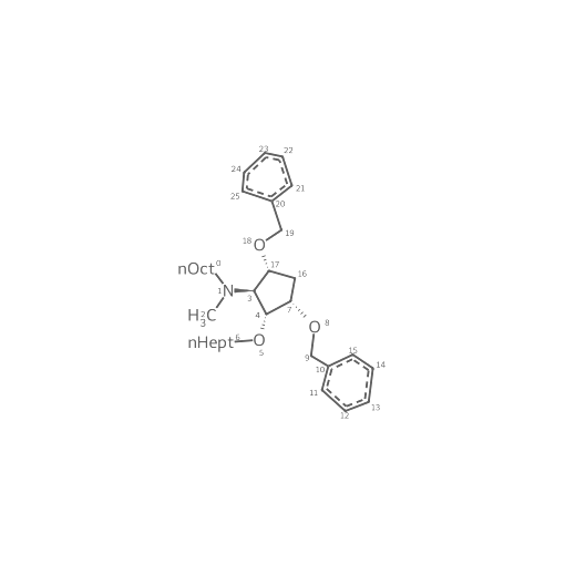 CCCCCCCCN(C)[C@@H]1[C@@H](OCCCCCCC)[C@@H](OCc2ccccc2)C[C@H]1OCc1ccccc1